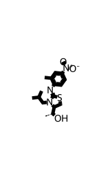 Cc1cc([N+](=O)[O-])ccc1N=C1SCC([C@@H](C)O)N1CC(C)C